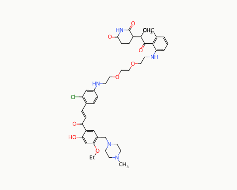 CCOc1cc(O)c(C(=O)/C=C/c2ccc(NCCOCCOCCNc3cccc(C=O)c3C(=O)C(C)C3CCC(=O)NC3=O)cc2Cl)cc1CN1CCN(C)CC1